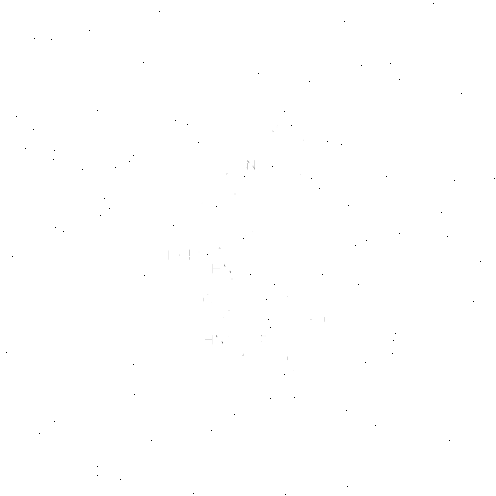 CCc1cc(-c2cc3cc(CN4CCCCC4)ccc3[nH]2)c2c(c1Cl)CNC2=O.Cl